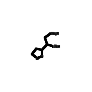 CCCCCCCCC(CCCCCC)C1CCOO1